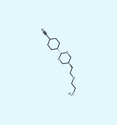 CCCOCC[C@H]1CO[C@H](C2CCC(C#N)CC2)OC1